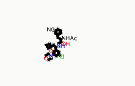 CC(=O)N[C@@H](Cc1cccc(C#N)c1)[C@H](O)CN[C@H]1CC2(CCC2)Oc2c1cc(Cl)cc2N1CCOCC1